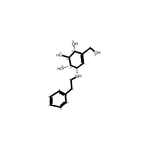 OCC1=C[C@H](NCCc2ccccc2)[C@H](O)C(O)[C@@H]1O